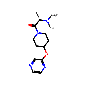 CC(C)[C@@H](C(=O)N1CCC(Oc2cnccn2)CC1)N(C(=O)O)C(C)(C)C